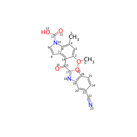 COc1cc(C)c2c(ccn2C(=O)O)c1C(=O)c1nc2cc(C#N)ccc2o1